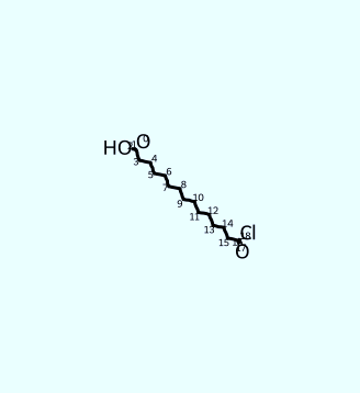 O=C(O)CCCCCCCCCCCCCC(=O)Cl